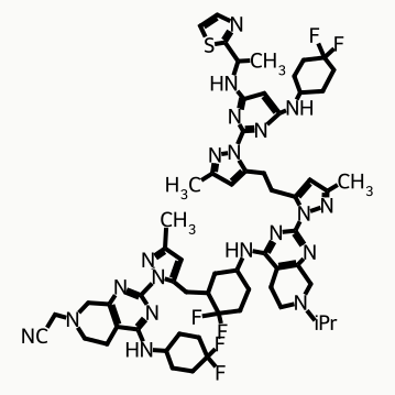 Cc1cc(CCc2cc(C)nn2-c2nc3c(c(NC4CCC(F)(F)C(Cc5cc(C)nn5-c5nc6c(c(NC7CCC(F)(F)CC7)n5)CCN(CC#N)C6)C4)n2)CCN(C(C)C)C3)n(-c2nc(NC3CCC(F)(F)CC3)cc(NC(C)c3nccs3)n2)n1